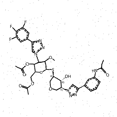 COC1C(S[C@@H]2COC[C@H](n3cc(-c4cccc(NC(C)=O)c4)nn3)[C@H]2O)OC(COC(C)=O)C(OC(C)=O)C1n1cc(-c2cc(F)c(F)c(F)c2)nn1